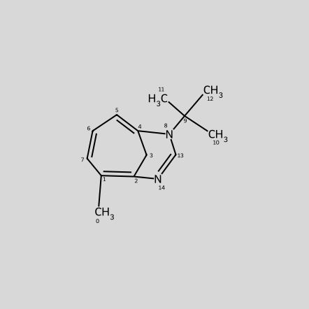 CC1=C2CC(=CC=C1)N(C(C)(C)C)C=N2